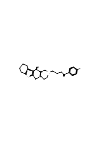 O=C(CCCN1CC[C@H]2Cc3[nH]c4c(c3C(=O)[C@@H]2C1)CCCC4)c1ccc(F)cc1